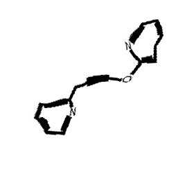 C(#COc1ccccn1)Cc1ccccn1